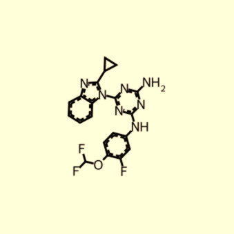 Nc1nc(Nc2ccc(OC(F)F)c(F)c2)nc(-n2c(C3CC3)nc3ccccc32)n1